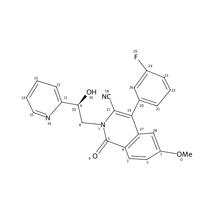 COc1ccc2c(=O)n(C[C@H](O)c3ccccn3)c(C#N)c(-c3cccc(F)c3)c2c1